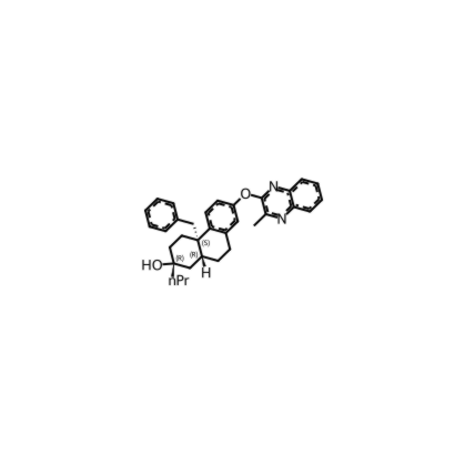 CCC[C@@]1(O)CC[C@@]2(Cc3ccccc3)c3ccc(Oc4nc5ccccc5nc4C)cc3CC[C@@H]2C1